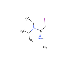 CC/N=C(\CI)N(CC)C(C)C